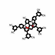 N#Cc1cc(C#N)cc(-c2ccc3c(c2)c2cc(-c4cc(C#N)cc(C#N)c4)ccc2n3-c2cc(C#N)cc(-n3c4ccc(-c5cc(C#N)cc(C#N)c5)cc4c4cc(-c5cc(C#N)cc(C#N)c5)ccc43)c2-c2c(C#N)cccc2C(F)(F)F)c1